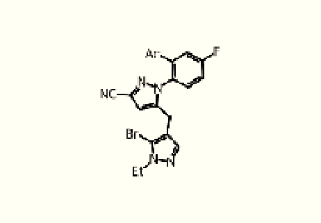 CCn1ncc(Cc2cc(C#N)nn2-c2ccc(F)cc2C(C)=O)c1Br